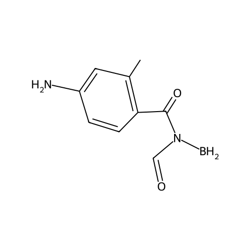 BN(C=O)C(=O)c1ccc(N)cc1C